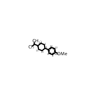 [CH2]C(Cl)C1CCC(c2ccc(OC)cc2)CC1